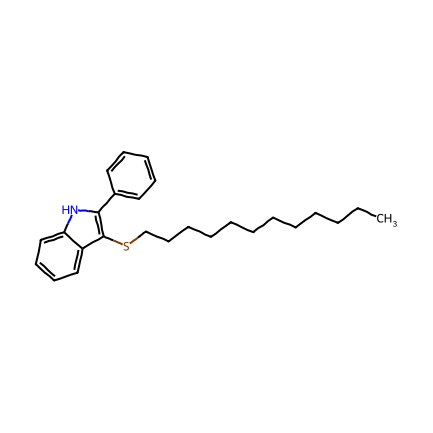 CCCCCCCCCCCCSc1c(-c2ccccc2)[nH]c2ccccc12